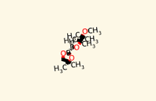 COC(C)(C)C(C)(C)OBB1OCC(C)(C)O1